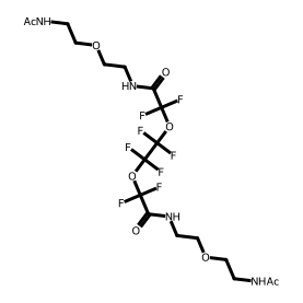 CC(=O)NCCOCCNC(=O)C(F)(F)OC(F)(F)C(F)(F)OC(F)(F)C(=O)NCCOCCNC(C)=O